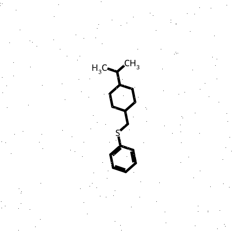 CC(C)C1CCC(CSc2ccccc2)CC1